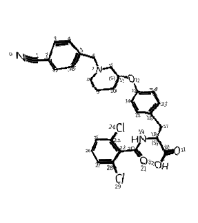 N#Cc1ccc(CN2CCC[C@H](Oc3ccc(C[C@H](NC(=O)c4c(Cl)cccc4Cl)C(=O)O)cc3)C2)cc1